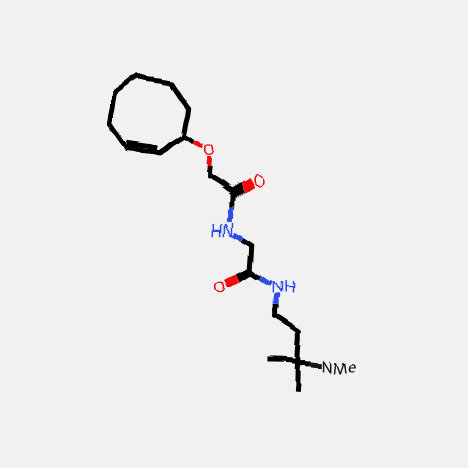 CNC(C)(C)CCNC(=O)CNC(=O)COC1/C=C\CCCCC1